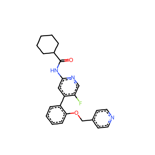 O=C(Nc1cc(-c2ccccc2OCc2ccncc2)c(F)cn1)C1CCCCC1